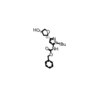 CC(C)(C)n1nc([C@@H]2C[C@H](O)CO2)cc1NC(=O)OCc1ccccc1